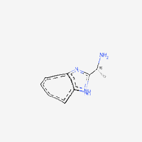 C[C@@H](N)c1nc2ccccc2[nH]1